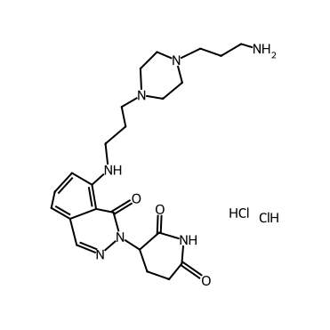 Cl.Cl.NCCCN1CCN(CCCNc2cccc3cnn(C4CCC(=O)NC4=O)c(=O)c23)CC1